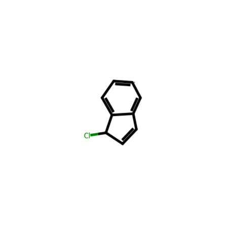 ClC1C=Cc2c[c]ccc21